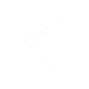 O.O.O.O.O.O.O.O=S(=O)([O-])[O-].O=[Si]([O-])[O-].[Fe+2].[Fe+2]